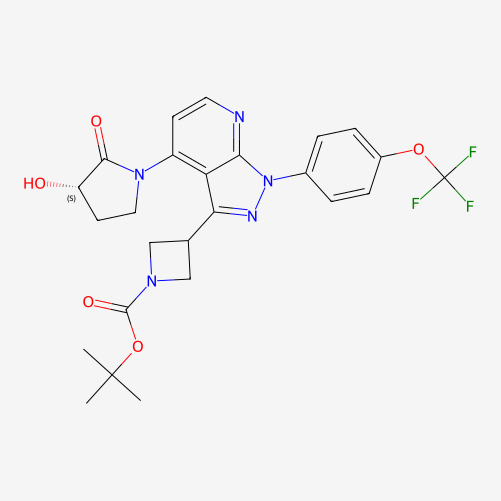 CC(C)(C)OC(=O)N1CC(c2nn(-c3ccc(OC(F)(F)F)cc3)c3nccc(N4CC[C@H](O)C4=O)c23)C1